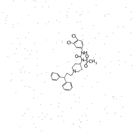 CS(=O)(=O)N(C(=O)Nc1ccc(Cl)c(Cl)c1)C1CCN(CCC(c2ccccc2)c2ccccc2)CC1